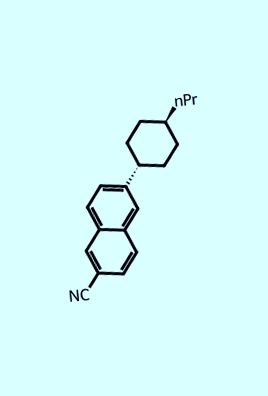 CCC[C@H]1CC[C@H](c2ccc3cc(C#N)ccc3c2)CC1